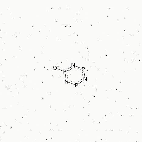 [O-][p+]1npnpn1